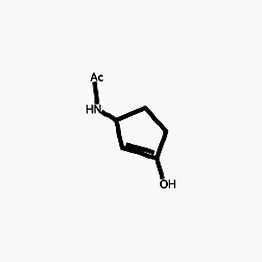 CC(=O)NC1C=C(O)CC1